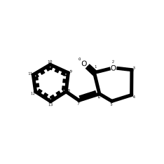 O=C1OCCCC1=Cc1ccccc1